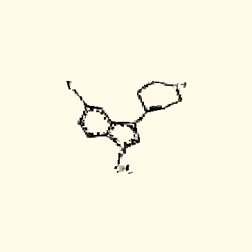 Nn1cc(C2=CCNCC2)c2cc(F)ccc21